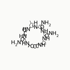 C=C1CCCNC(=C)C(CC)NC(=O)C(CCN)NC(=O)C(CCN)NC(=C)C(CC(C)C)NC(=O)CNC(=O)C(CCN)N1